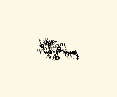 CCN(CC)c1cc(Nc2nc(Nc3cc(N(CC)CC)c(OC)cc3/N=N/c3nc(S(=O)(=O)O)c(/C=C(/C(C)=O)C(=O)Nc4cccc(C(N)=O)c4)s3)nc(SC3CCCCC3)n2)c(/N=N/c2ncc(/C=C(\C(C)=O)C(=O)Nc3cccc(NC=O)c3)s2)cc1OC